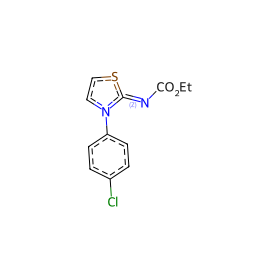 CCOC(=O)/N=c1\sccn1-c1ccc(Cl)cc1